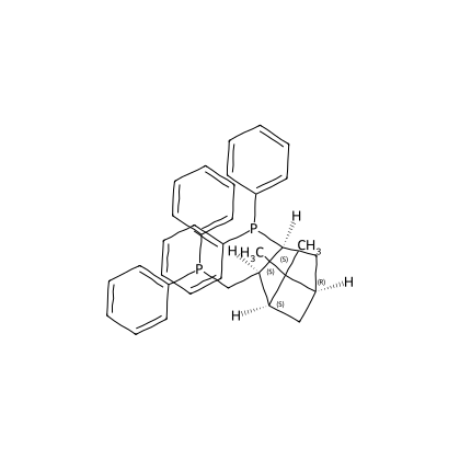 CC1(C)[C@H]2C[C@H](P(c3ccccc3)c3ccccc3)[C@H](CP(c3ccccc3)c3ccccc3)[C@@H]1C2